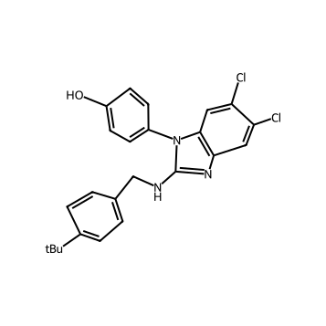 CC(C)(C)c1ccc(CNc2nc3cc(Cl)c(Cl)cc3n2-c2ccc(O)cc2)cc1